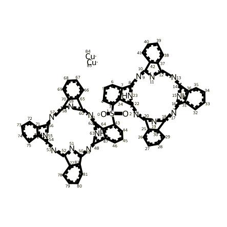 O=S(=O)(c1cccc2c3nc4nc(nc5[nH]c(nc6nc(nc([nH]3)c12)-c1ccccc1-6)c1ccccc51)-c1ccccc1-4)c1cccc2c3nc4nc(nc5[nH]c(nc6nc(nc([nH]3)c12)-c1ccccc1-6)c1ccccc51)-c1ccccc1-4.[Cu].[Cu]